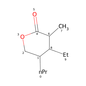 CCCC1COC(=O)C(C)C1CC